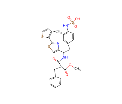 COC(=O)C(Cc1ccccc1)C(=O)NC(Cc1ccc(NS(=O)(=O)O)cc1)c1csc(-c2sccc2C)n1